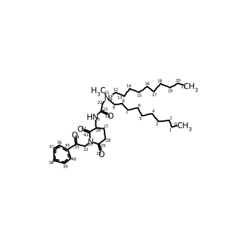 CCCCCCCCCC[N+](C)(CCCCCCCCCC)CC(=O)NC1CCC(=O)N(CC(=O)c2ccccc2)C1=O